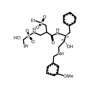 CCS(=O)(=O)CC(CNS(=O)(=O)CC(C)C)C(=O)N[C@@H](Cc1ccccc1)[C@H](O)CNCc1cccc(OC)c1.Cl